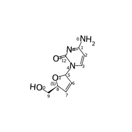 Nc1ccn(C2C=C[C@@H](CO)O2)c(=O)n1